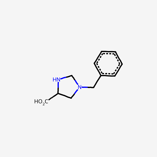 O=C(O)C1CN(Cc2ccccc2)CN1